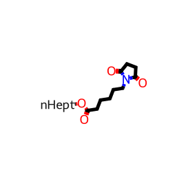 CCCCCCCOC(=O)CCCCCN1C(=O)CCC1=O